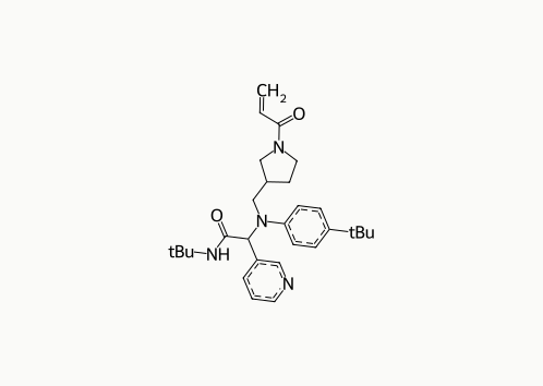 C=CC(=O)N1CCC(CN(c2ccc(C(C)(C)C)cc2)C(C(=O)NC(C)(C)C)c2cccnc2)C1